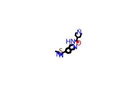 Cc1nnc(-c2ccc3cnc(NC(=O)C4CCN(C)CC4)cc3c2)s1